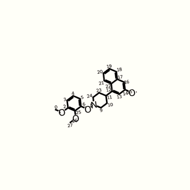 COc1cccc(ON2CCC(c3cc([O])cc4ccccc34)CC2)c1OC